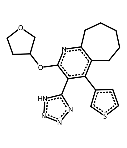 c1cc(-c2c3c(nc(OC4CCOC4)c2-c2nnn[nH]2)CCCCC3)cs1